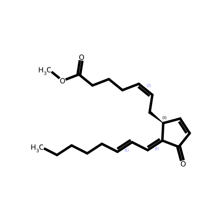 CCCCC/C=C/C=C1/C(=O)C=C[C@@H]1C/C=C\CCCC(=O)OC